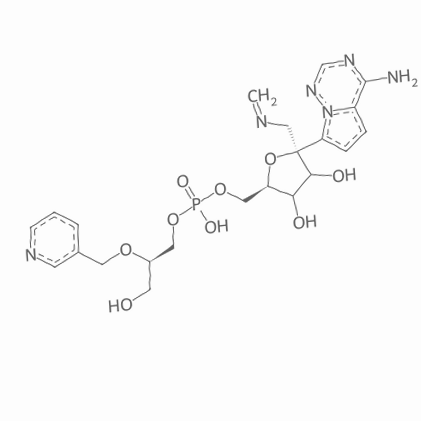 C=NC[C@@]1(c2ccc3c(N)ncnn23)O[C@H](COP(=O)(O)OC[C@@H](CO)OCc2cccnc2)C(O)C1O